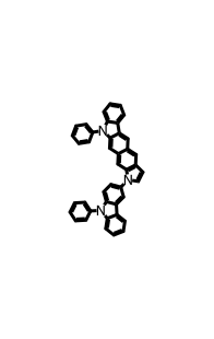 c1ccc(-n2c3ccccc3c3cc(-n4ccc5cc6cc7c8ccccc8n(-c8ccccc8)c7cc6cc54)ccc32)cc1